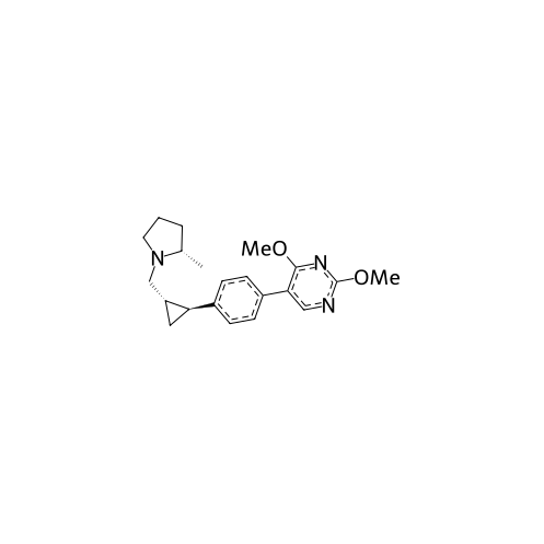 COc1ncc(-c2ccc([C@H]3C[C@@H]3CN3CCC[C@@H]3C)cc2)c(OC)n1